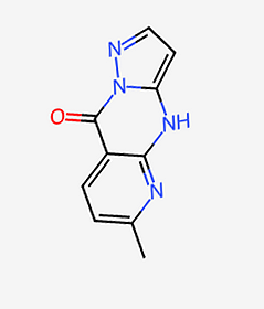 Cc1ccc2c(=O)n3nccc3[nH]c2n1